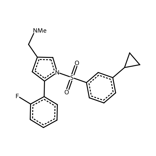 CNCc1cc(-c2ccccc2F)n(S(=O)(=O)c2cccc(C3CC3)c2)c1